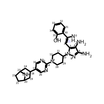 N/C(=C\c1c(N)c(N)nn1C1CCN(c2ncc(C3CC4CCC(C3)N4)cn2)CC1)c1ccccc1O